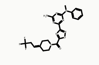 CN(c1ccccc1)c1nc(N)nc(-c2noc(C(=O)N3CCC(=CCC(F)(F)F)CC3)n2)n1